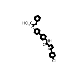 O=C(Nc1ccc(-c2ccc(OC(Cc3ccccc3)C(=O)O)cc2)cc1)c1ccc(-c2ccc(Cl)cc2)s1